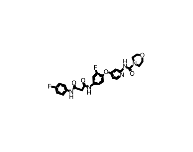 O=C(CC(=O)Nc1ccc(Oc2ccnc(NC(=O)N3CCOCC3)c2)c(F)c1)Nc1ccc(F)cc1